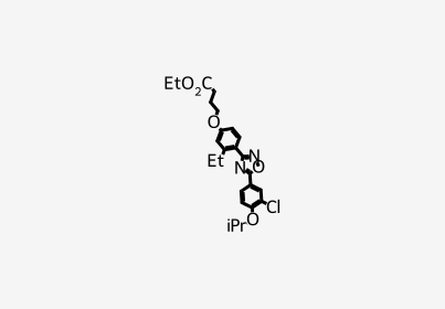 CCOC(=O)CCCOc1ccc(-c2noc(-c3ccc(OC(C)C)c(Cl)c3)n2)c(CC)c1